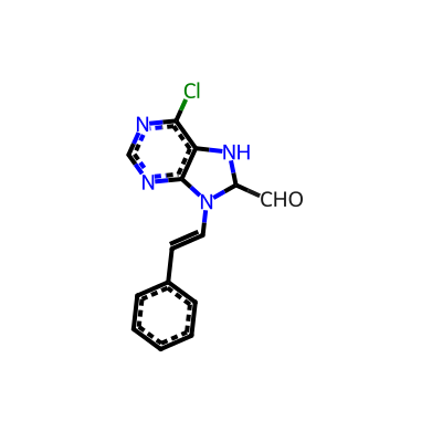 O=CC1Nc2c(Cl)ncnc2N1C=Cc1ccccc1